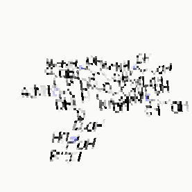 CCC(O)/C(O)=C(\O)C(O)OOCCC(OC(O)/C(NC(C)=O)=C(/O)C(CCO)OC(CNC(C)=O)OC(CO)C(CO)OC(O)/C(NC(C)=O)=C(/O)C(CCO)OC(O)/C(NC)=C(/O)C(O)CCO)/C(O)=C(/NC(C)=O)C(O)O